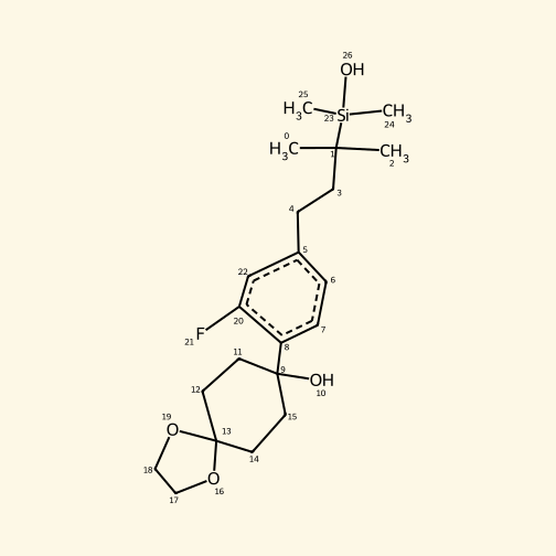 CC(C)(CCc1ccc(C2(O)CCC3(CC2)OCCO3)c(F)c1)[Si](C)(C)O